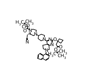 CC(C)(C)OC(=O)CC1(Oc2nc3c(c(N4CCC(N5CCN(C(=O)OC(C)(C)C)[C@@H](CC#N)C5)CC4)n2)CCN(c2cccc4ccccc24)C3)CCC1